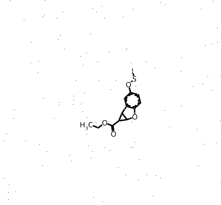 CCOC(=O)C1C2Oc3ccc(OSI)cc3C21